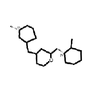 CC1CCCC[C@@H]1CC1CC(CC2CCC[C@@H](C)C2)CCO1